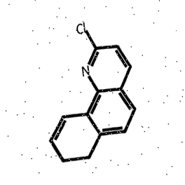 Clc1ccc2ccc3c(c2n1)C=CCC3